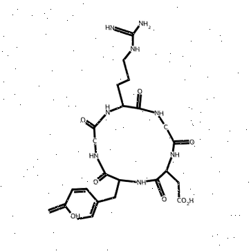 C=C(O)/C=C\C(=C/C)CC1NC(=O)C(CC(=O)O)NC(=O)CNC(=O)C(CCCNC(=N)N)NC(=O)CNC1=O